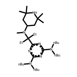 CCCCN(CCCC)c1nc(N(CCCC)CCCC)nc(C(CC)(CC)N(C)C2CC(C)(C)NC(C)(C)C2)n1